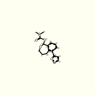 CN(C)C(=O)OC1OCCCc2c(-c3ccno3)cccc21